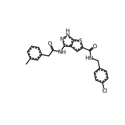 Cc1cccc(CC(=O)Nc2n[nH]c3sc(C(=O)NCc4ccc(Cl)cc4)cc23)c1